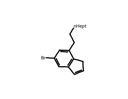 CCCCCCCCCc1cc(Br)cc2c1CC=C2